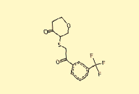 O=C(CSC1COCCC1=O)c1cccc(C(F)(F)F)c1